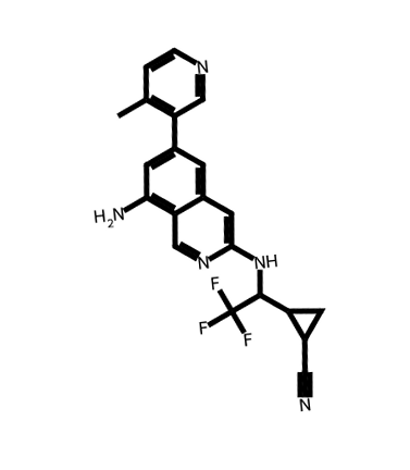 Cc1ccncc1-c1cc(N)c2cnc(NC(C3CC3C#N)C(F)(F)F)cc2c1